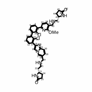 COc1nc(-c2cccc(-c3cccc(-c4cn5cc(CNCC[C@@H]6CCC(=O)N6)ccc5n4)c3Cl)c2Cl)ccc1CNC[C@@H]1CCC(=O)N1